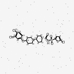 O=C(NS(=O)(=O)c1ccc(Cl)s1)[C@H]1CC[C@H](N2CCC(Oc3ccc(Cl)c(Cl)c3)CC2)CC1